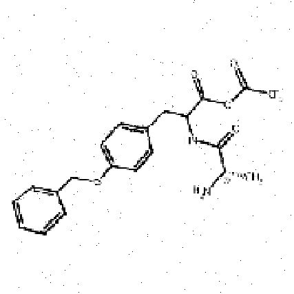 C[C@H](N)C(=O)NC(Cc1ccc(OCc2ccccc2)cc1)C(=O)OC(=O)C(F)(F)F